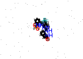 CS(=O)(=O)Nc1ccccc1CNc1nc(Nc2cccc3c2NC(=O)C3)ncc1C(F)(F)F